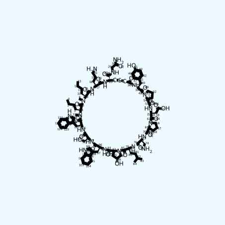 CCCC[C@H]1C(=O)N(C)[C@@H](CCCC)C(=O)N[C@@H](CCCN)C(=O)N[C@H](C(=O)NCC(N)=O)CSCC(=O)N[C@@H](Cc2ccc(O)cc2)C(=O)N2CCC[C@H]2C(=O)N[C@@H](CC(=O)O)C(=O)N2CCC[C@H]2C(=O)N[C@@H](CN)C(=O)N[C@@H](CCC(C)C)C(=O)N2C[C@@H](O)C[C@H]2C(=O)N[C@@H](Cc2c[nH]c3ccccc23)C(=O)N[C@@H](CO)C(=O)N[C@@H](Cc2c[nH]c3ccccc23)C(=O)N1C